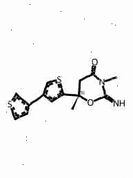 CN1C(=N)O[C@](C)(c2cc(-c3ccsc3)cs2)CC1=O